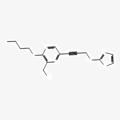 CCCCNc1ncc(C#CCNc2ncco2)nc1CO